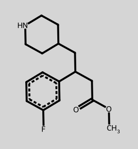 COC(=O)CC(CC1CCNCC1)c1cccc(F)c1